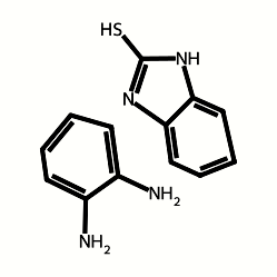 Nc1ccccc1N.Sc1nc2ccccc2[nH]1